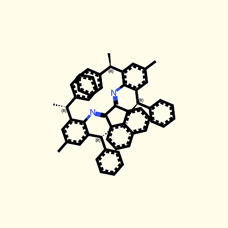 Cc1cc([C@H](C)c2ccccc2)c(N=C2C(=Nc3c([C@H](C)c4ccccc4)cc(C)cc3[C@H](C)c3ccccc3)c3cccc4cccc2c34)c([C@H](C)c2ccccc2)c1